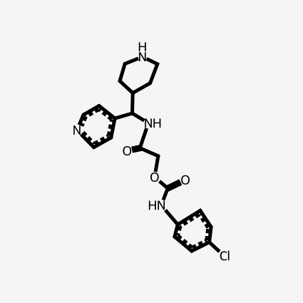 O=C(COC(=O)Nc1ccc(Cl)cc1)NC(c1ccncc1)C1CCNCC1